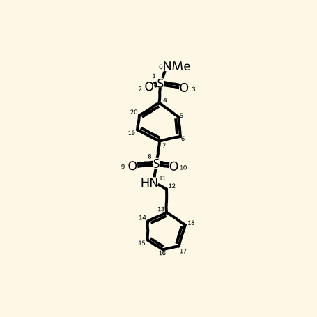 CNS(=O)(=O)c1ccc(S(=O)(=O)NCc2ccccc2)cc1